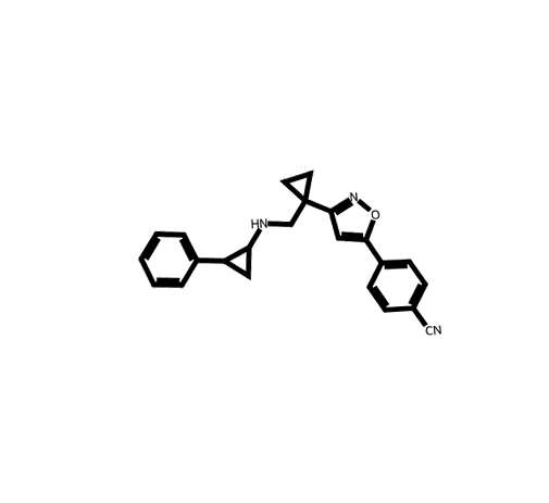 N#Cc1ccc(-c2cc(C3(CNC4CC4c4ccccc4)CC3)no2)cc1